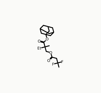 CCC(C)(COC(=O)CC(C)(F)F)C(=O)OC12CC3CC(CC(C3)C1)C2